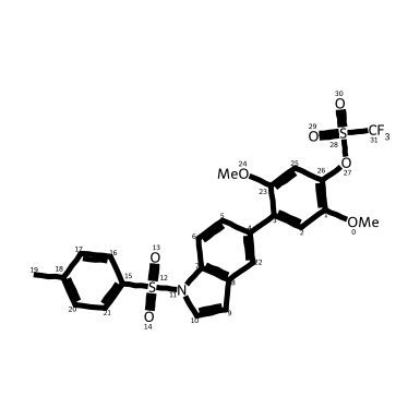 COc1cc(-c2ccc3c(ccn3S(=O)(=O)c3ccc(C)cc3)c2)c(OC)cc1OS(=O)(=O)C(F)(F)F